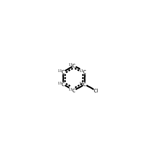 Cl[13c]1[13cH][13cH][13cH][13cH][13cH]1